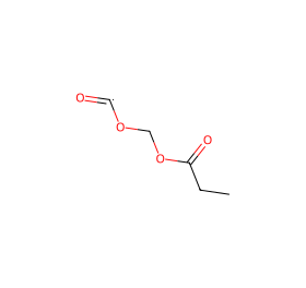 CCC(=O)OCO[C]=O